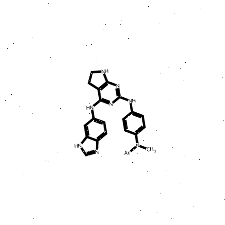 CC(=O)N(C)c1ccc(Nc2nc3c(c(Nc4ccc5nc[nH]c5c4)n2)CCN3)cc1